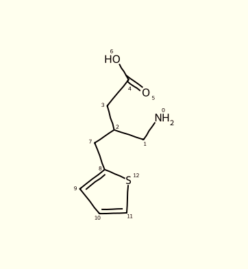 NCC(CC(=O)O)Cc1cccs1